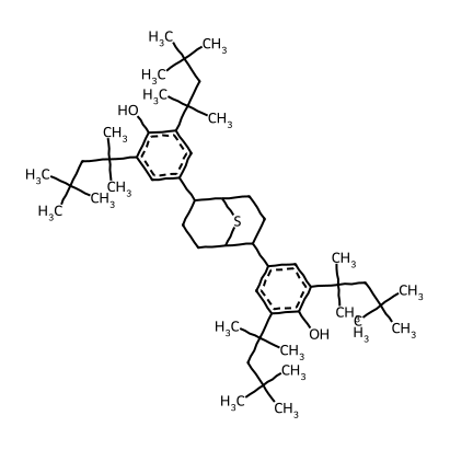 CC(C)(C)CC(C)(C)c1cc(C2CCC3SC2CCC3c2cc(C(C)(C)CC(C)(C)C)c(O)c(C(C)(C)CC(C)(C)C)c2)cc(C(C)(C)CC(C)(C)C)c1O